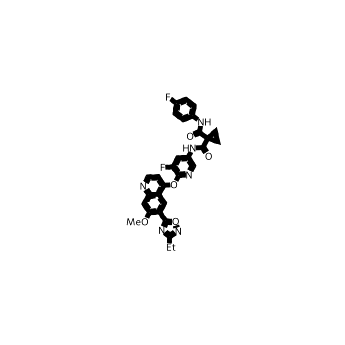 CCc1noc(-c2cc3c(Oc4ncc(NC(=O)C5(C(=O)Nc6ccc(F)cc6)CC5)cc4F)ccnc3cc2OC)n1